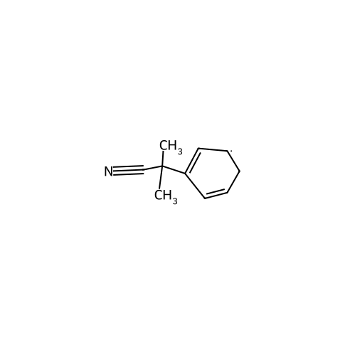 CC(C)(C#N)C1=C[CH]CC=C1